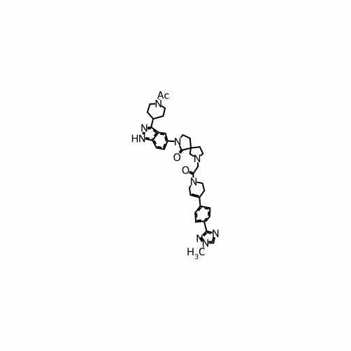 CC(=O)N1CCC(c2n[nH]c3ccc(N4CCC5(CCN(CC(=O)N6CC=C(c7ccc(-c8ncn(C)n8)cc7)CC6)C5)C4=O)cc23)CC1